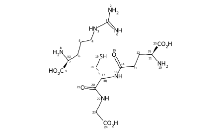 N=C(N)NCCC[C@H](N)C(=O)O.N[C@@H](CCC(=O)N[C@@H](CS)C(=O)NCC(=O)O)C(=O)O